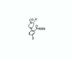 CNC(=O)c1cc(F)ccc1N1CCN(C(=O)O)CC1